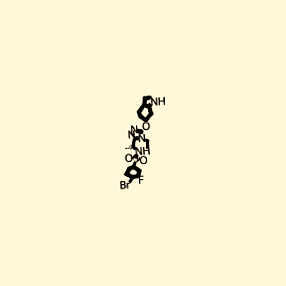 CCn1c(Oc2ccc3cc[nH]c3c2)nnc1[C@@H](C)NS(=O)(=O)c1ccc(Br)c(F)c1